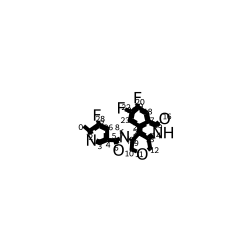 Cc1ncc(C(=O)N(C)[C@@H]2COCc3[nH]c(=O)c4cc(F)c(F)cc4c32)cc1F